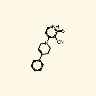 N#Cc1c(N2CC=C(c3ccccc3)CC2)cc[nH]c1=S